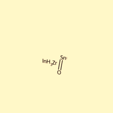 [InH3].[O]=[Sn].[Zr]